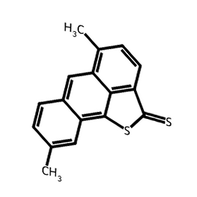 Cc1ccc2cc3c(C)ccc4c3c(c2c1)SC4=S